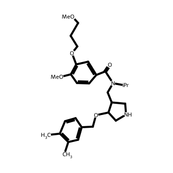 COCCCOc1cc(C(=O)N(CC2CNCC2OCc2ccc(C)c(C)c2)C(C)C)ccc1OC